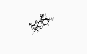 OC1C2[C@@H]3C[C@H]1CC3OC2(C(F)(F)F)C(F)(F)F